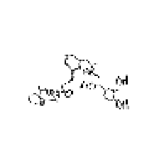 C[C@H](Cc1cccc(CCC(=O)NCc2ccccc2)c1)NC[C@H](O)c1ccc(O)c(CO)c1